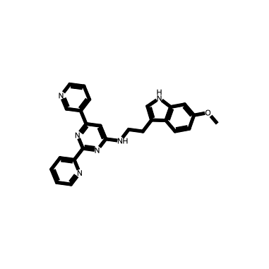 COc1ccc2c(CCNc3cc(-c4cccnc4)nc(-c4ccccn4)n3)c[nH]c2c1